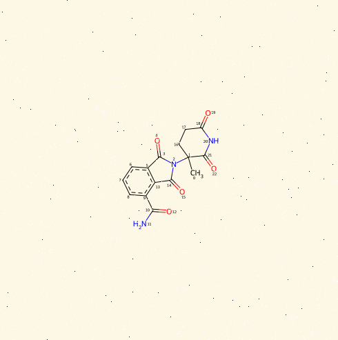 CC1(N2C(=O)c3cccc(C(N)=O)c3C2=O)CCC(=O)NC1=O